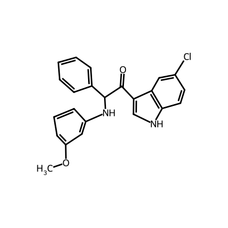 COc1cccc(NC(C(=O)c2c[nH]c3ccc(Cl)cc23)c2ccccc2)c1